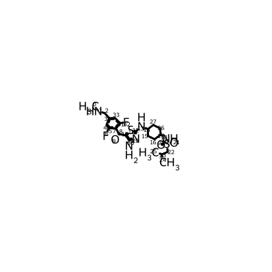 CNCc1cc(F)c(C(=O)c2sc(NC3CCC(NS(=O)(=O)CC(C)C)CC3)nc2N)c(F)c1